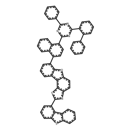 c1ccc(-c2nc(-c3ccccc3-c3ccccc3)nc(-c3ccc(-c4cccc5c4oc4ccc6nc(-c7cccc8sc9ccccc9c78)sc6c45)c4ccccc34)n2)cc1